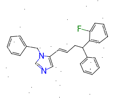 Fc1ccccc1C(C/C=C/c1cncn1Cc1ccccc1)c1ccccc1